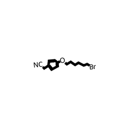 N#CCc1ccc(OCCCCCCBr)cc1